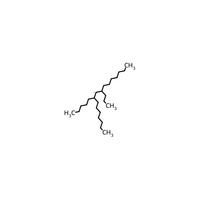 CCCCCCCC([CH]C(CCCCC)CCCCCCC)CCC